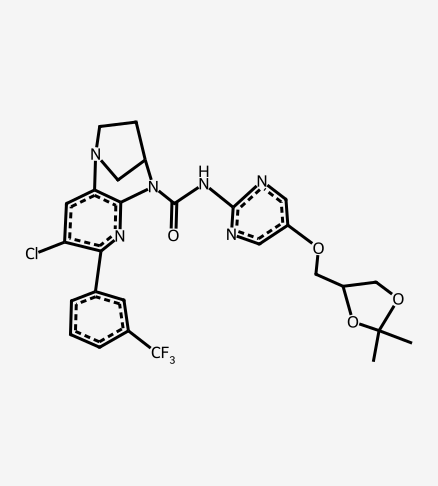 CC1(C)OCC(COc2cnc(NC(=O)N3c4nc(-c5cccc(C(F)(F)F)c5)c(Cl)cc4N4CCC3C4)nc2)O1